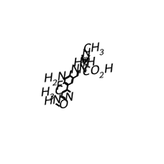 Cc1c(-c2cc3cc(N(C(=O)O)[C@H]4[C@@H]5CN(C)C[C@@H]54)ncc3c(N)c2F)cnc2c1NCCO2